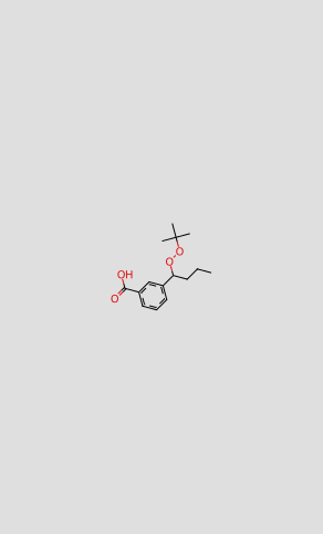 CCCC(OOC(C)(C)C)c1cccc(C(=O)O)c1